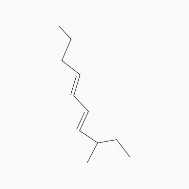 CCCC=CC=CC(C)CC